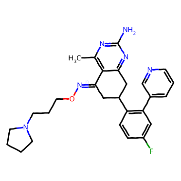 Cc1nc(N)nc2c1/C(=N/OCCCN1CCCC1)CC(c1ccc(F)cc1-c1cccnc1)C2